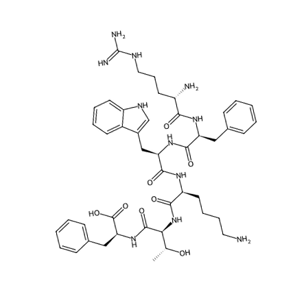 C[C@@H](O)[C@H](NC(=O)[C@H](CCCCN)NC(=O)[C@@H](Cc1c[nH]c2ccccc12)NC(=O)[C@H](Cc1ccccc1)NC(=O)[C@@H](N)CCCNC(=N)N)C(=O)N[C@@H](Cc1ccccc1)C(=O)O